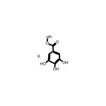 CCCOC(=O)c1cc(O)c(O)c(O)c1.[K]